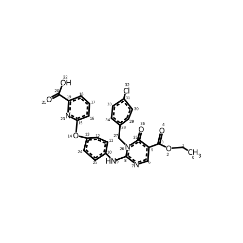 CCOC(=O)c1cnc(Nc2ccc(Oc3cccc(C(=O)O)n3)cc2)n(Cc2ccc(Cl)cc2)c1=O